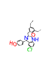 CCc1cc(CC)cc(CC2N=C(c3ccc(O)cc3)c3cc(Cl)ccc3NC2=O)c1